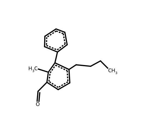 CCCCc1ccc(C=O)c(C)c1-c1ccccc1